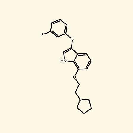 Fc1cccc(Sc2c[nH]c3c(OCCN4CCCC4)cccc23)c1